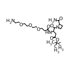 CC(C)(C)OC(=O)CC(NC(=O)CCOCCOCCOCCN)C(=O)N1CCC1C(N)=O